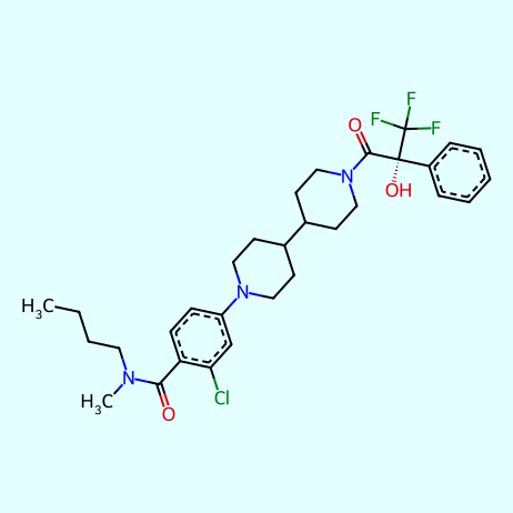 CCCCN(C)C(=O)c1ccc(N2CCC(C3CCN(C(=O)[C@](O)(c4ccccc4)C(F)(F)F)CC3)CC2)cc1Cl